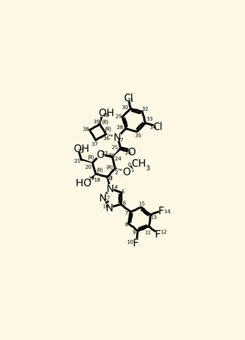 CO[C@@H]1[C@@H](n2cc(-c3cc(F)c(F)c(F)c3)nn2)[C@@H](O)[C@@H](CO)O[C@H]1C(=O)N(c1cc(Cl)cc(Cl)c1)[C@@H]1CC[C@H]1O